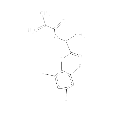 C=C(C)C(=O)OC(C)C(=O)Oc1c(F)cc(F)cc1F